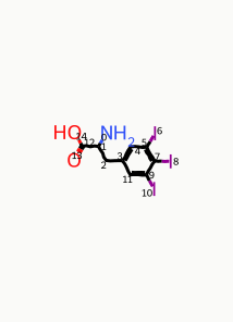 NC(Cc1cc(I)c(I)c(I)c1)C(=O)O